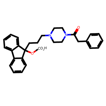 O=C(O)OC1(CCCN2CCN(C(=O)Cc3ccccc3)CC2)c2ccccc2-c2ccccc21